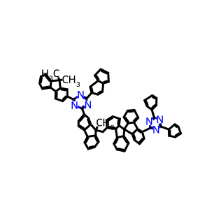 CC1(C)c2ccccc2-c2ccc(-c3nc(-c4ccc5c(c4)C(C)(Cc4cccc6c4-c4ccccc4C64c6ccccc6-c6c(-c7nc(-c8ccccc8)nc(-c8ccccc8)n7)cccc64)c4ccccc4-5)nc(-c4ccc5ccccc5c4)n3)cc21